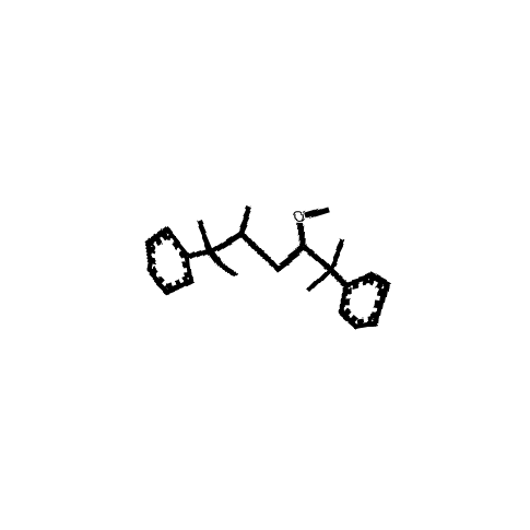 COC(CC(C)C(C)(C)c1ccccc1)C(C)(C)c1ccccc1